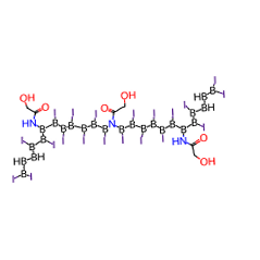 O=C(CO)NB(B(I)B(I)BBB(I)I)B(I)B(I)B(I)B(I)B(I)B(I)N(B(I)B(I)B(I)B(I)B(I)B(I)B(NC(=O)CO)B(I)B(I)BBB(I)I)C(=O)CO